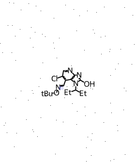 CCC(CC)n1c(O)nc2ncc(Cl)c(/C=N/OC(C)(C)C)c21